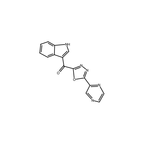 O=C(c1nnc(-c2cnccn2)o1)c1c[nH]c2ccccc12